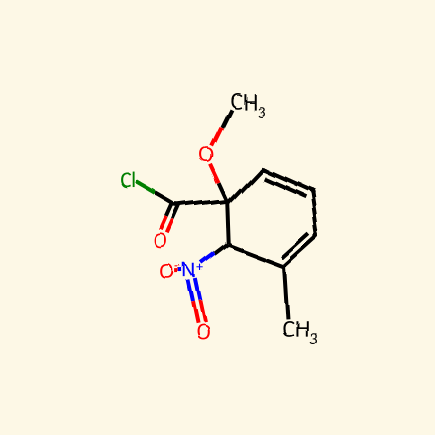 COC1(C(=O)Cl)C=CC=C(C)C1[N+](=O)[O-]